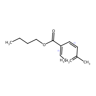 C=C(C)/C=C\C(=C/C)C(=O)OCCCC